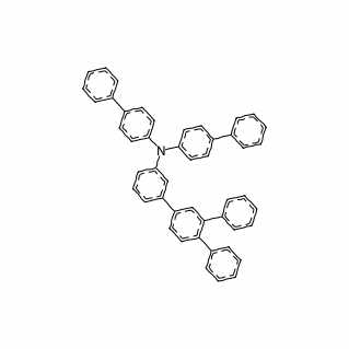 c1ccc(-c2ccc(N(c3ccc(-c4ccccc4)cc3)c3cccc(-c4ccc(-c5ccccc5)c(-c5ccccc5)c4)c3)cc2)cc1